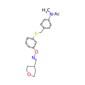 CC(=O)N(C)c1ccc(CSc2cccc(ON=CC3CCOCC3)c2)cc1